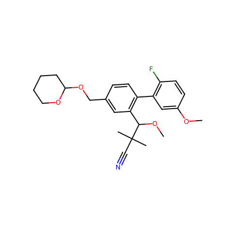 COc1ccc(F)c(-c2ccc(COC3CCCCO3)cc2C(OC)C(C)(C)C#N)c1